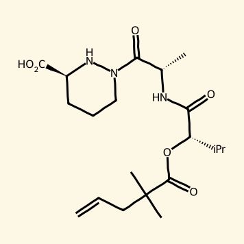 C=CCC(C)(C)C(=O)O[C@H](C(=O)N[C@@H](C)C(=O)N1CCC[C@@H](C(=O)O)N1)C(C)C